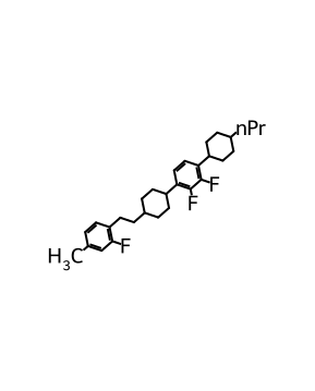 CCCC1CCC(c2ccc(C3CCC(CCc4ccc(C)cc4F)CC3)c(F)c2F)CC1